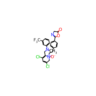 CN(CC1=C(Cl)C=C(Cl)C[N+]1([O-])CCc1ccc(C2=NCC(=O)O2)cc1)c1cccc(C(F)(F)F)c1